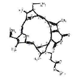 C=Cc1c(C)/c2[nH]/c1=C\C1=NC(=C\c3[nH]c4c(c3C)C(=O)OC(=O)C4C3N=C(/C=2)C(C)[C@@H]3CCC(=O)OC)/C(CC)C1C